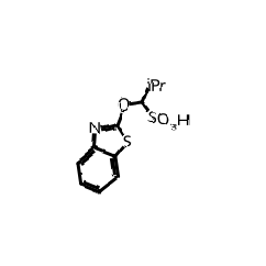 CC(C)C(Oc1nc2ccccc2s1)S(=O)(=O)O